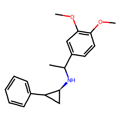 COc1ccc(C(C)N[C@H]2CC2c2ccccc2)cc1OC